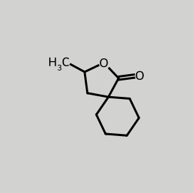 CC1CC2(CCCCC2)C(=O)O1